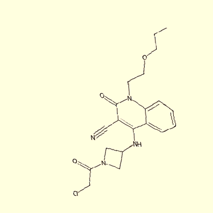 CCCOCCn1c(=O)c(C#N)c(NC2CN(C(=O)CCl)C2)c2ccccc21